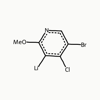 [Li][c]1c(OC)ncc(Br)c1Cl